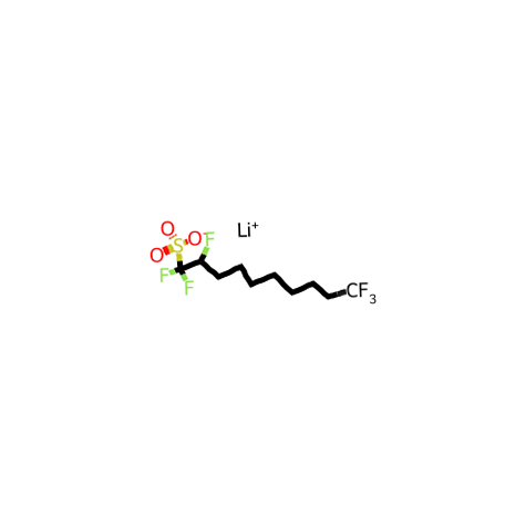 O=S(=O)([O-])C(F)(F)C(F)CCCCCCCC(F)(F)F.[Li+]